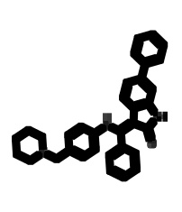 O=C1Nc2cc(-c3ccccc3)ccc2C1=C(Nc1ccc(CN2CCCCC2)cc1)c1ccccc1